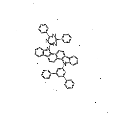 c1ccc(-c2cc(-c3ccccc3)cc(-n3c4ccccc4c4ccc5c(ccc6c7ccccc7n(-c7nc(-c8ccccc8)nc(-c8ccccc8)n7)c65)c43)c2)cc1